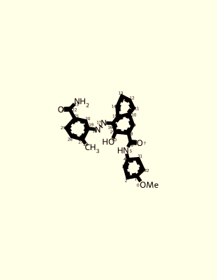 COc1ccc(NC(=O)c2cc3ccccc3c(N=Nc3cc(C(N)=O)ccc3C)c2O)cc1